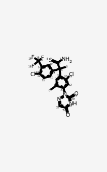 Cc1cc(C(C)(C(N)=S)c2ccc(Cl)c(C(F)(F)F)c2)c(Cl)cc1-n1ncc(=O)[nH]c1=O